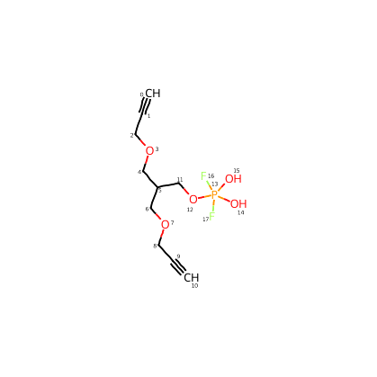 C#CCOCC(COCC#C)COP(O)(O)(F)F